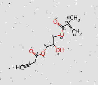 C#CCC(=O)OCC(O)COC(=O)C(=C)C